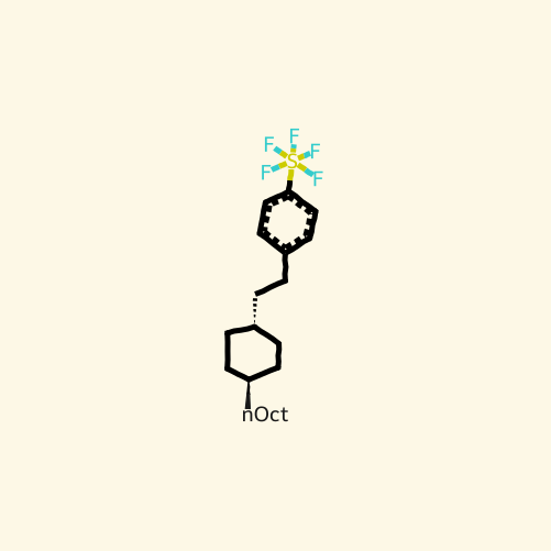 CCCCCCCC[C@H]1CC[C@H](CCc2ccc(S(F)(F)(F)(F)F)cc2)CC1